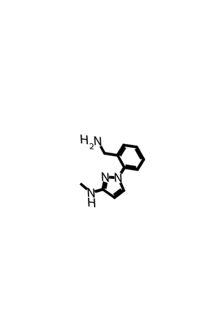 CNc1ccn(-c2ccccc2CN)n1